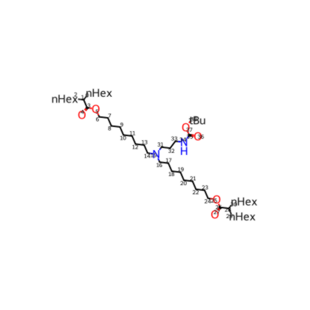 CCCCCCC(CCCCCC)C(=O)OCCCCCCCCCN(CCCCCCCCCOC(=O)C(CCCCCC)CCCCCC)CCCNC(=O)OC(C)(C)C